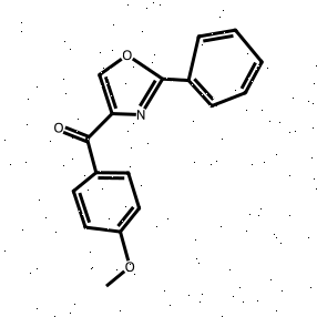 COc1ccc(C(=O)c2coc(-c3ccccc3)n2)cc1